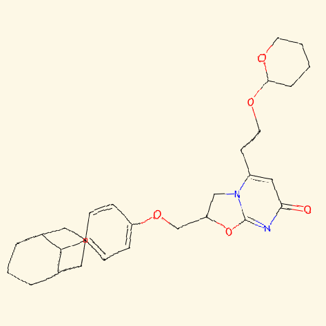 O=c1cc(CCOC2CCCCO2)n2c(n1)OC(COc1ccc(C3C4CCCC3CCC4)cc1)C2